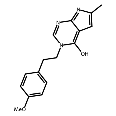 COc1ccc(CCn2cnc3nc(C)cc-3c2O)cc1